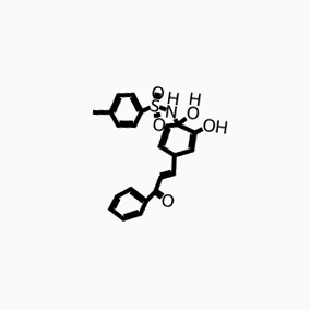 Cc1ccc(S(=O)(=O)NC2(O)C=CC(/C=C/C(=O)c3ccccc3)C=C2O)cc1